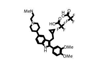 CNCCN1CCC(c2ccc3[nH]c(-c4ccc(OC)c(OC)c4)c(CC4CC4)c3c2)CC1.O=C(O)C(F)(F)F.O=C(O)C(F)(F)F